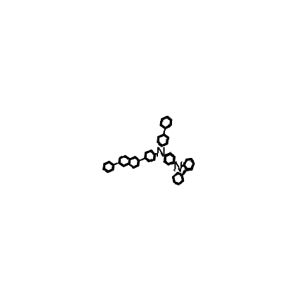 c1ccc(-c2ccc(N(c3ccc(-c4ccc5cc(-c6ccccc6)ccc5c4)cc3)c3ccc(-n4c5ccccc5c5ccccc54)cc3)cc2)cc1